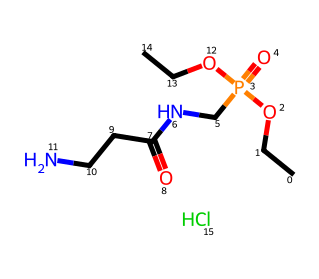 CCOP(=O)(CNC(=O)CCN)OCC.Cl